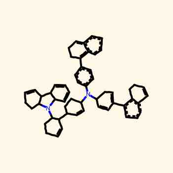 C1=CC2C3C=CCCC3N(C3CCC=CC3C3C=CC(N(c4ccc(C5=c6ccccc6=CCC5)cc4)C4C=CC(c5cccc6c5CCC=C6)=CC4)CC3)C2C=C1